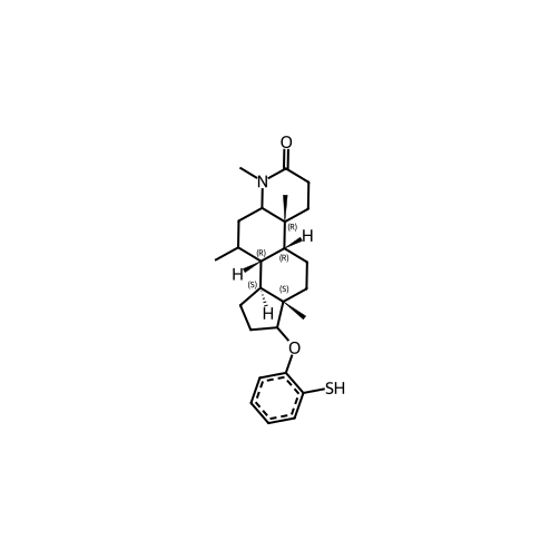 CC1CC2N(C)C(=O)CC[C@]2(C)[C@@H]2CC[C@]3(C)C(Oc4ccccc4S)CC[C@H]3[C@H]12